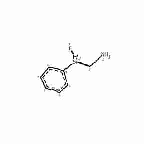 NC[SiH](F)c1ccccc1